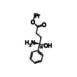 CC(C)OC(=O)CC[C@](N)(O)c1ccccc1